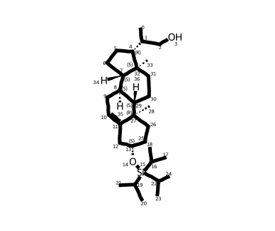 CC(CO)[C@H]1CC[C@H]2[C@@H]3CC=C4C[C@@H](O[Si](C(C)C)(C(C)C)C(C)C)CC[C@]4(C)[C@H]3CC[C@]12C